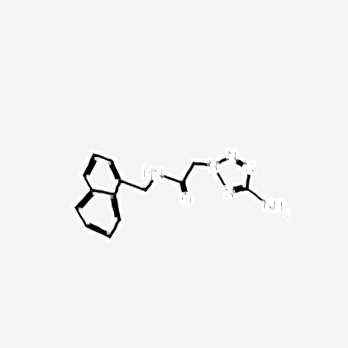 Nc1nnn(CC(=O)NCc2cccc3ccccc23)n1